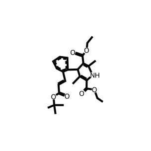 CCOC(=O)C1=C(C)C(c2ccccc2C=CC(=O)OC(C)(C)C)C(C(=O)OCC)=C(C)N1